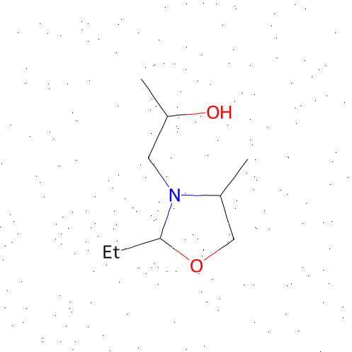 CCC1OCC(C)N1CC(C)O